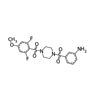 COc1cc(F)c(S(=O)(=O)N2CCN(S(=O)(=O)c3cccc(N)c3)CC2)c(F)c1